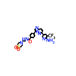 Nc1ncc(-c2ccc3ncc(-c4ccc(C(=O)NCCN5CCS(=O)(=O)CC5)cc4)n3n2)cc1C(F)(F)F